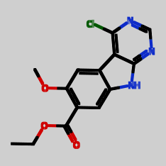 CCOC(=O)c1cc2[nH]c3ncnc(Cl)c3c2cc1OC